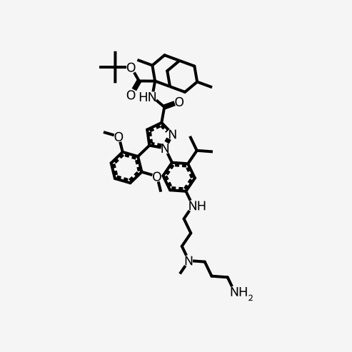 COc1cccc(OC)c1-c1cc(C(=O)NC2(C(=O)OC(C)(C)C)C(C)CC3CC(C)CC2C3)nn1-c1ccc(NCCCN(C)CCCN)cc1C(C)C